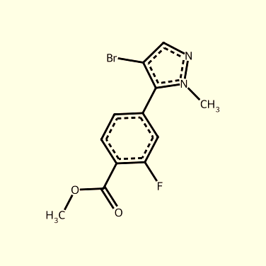 COC(=O)c1ccc(-c2c(Br)cnn2C)cc1F